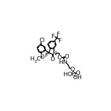 COc1ccc(Cl)cc1[C@]1(F)C(=O)N(COC(=O)NCCOP(=O)(O)O)c2cc(C(F)(F)F)ccc21